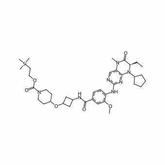 CC[C@@H]1C(=O)N(C)c2cnc(Nc3ccc(C(=O)NC4CC(OC5CCN(C(=O)OCC[Si](C)(C)C)CC5)C4)cc3OC)nc2N1C1CCCC1